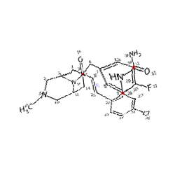 CN1CC2CN(Cc3ccc(F)cc3)CC(C1)N2C(=O)/C=C/c1ccc(Cl)cc1NC(N)=O